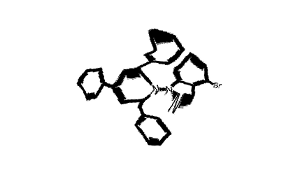 Brc1cccc2c1cnn2N1C(c2ccccc2)=CC(c2ccccc2)=CC1c1ccccc1